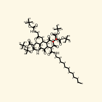 CCCCCCCCCCCCNC(=O)C(C(=O)CNC(=O)OC(C)(C)C)C(C(=O)CNC(=O)OC(C)(C)C)C(C(=O)CNC(=O)OC(C)(C)C)C(CC(=O)CNC(=O)OC(C)(C)C)C(=O)CNC(=O)OC(C)(C)C